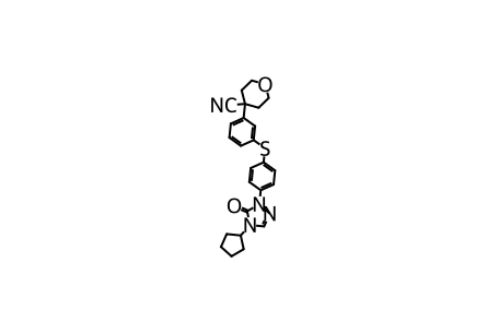 N#CC1(c2cccc(Sc3ccc(-n4ncn(C5CCCC5)c4=O)cc3)c2)CCOCC1